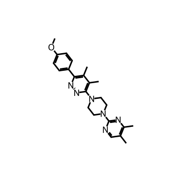 COc1ccc(-c2nnc(N3CCN(c4ncc(C)c(C)n4)CC3)c(C)c2C)cc1